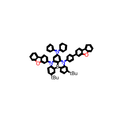 CC(C)(C)c1ccc2c(c1)B1c3ccc(C(C)(C)C)cc3N(c3ccc(-c4ccc5c(c4)oc4ccccc45)cc3)c3cc(N(c4ccccc4)c4ccccc4)cc(c31)N2c1ccc2c(c1)oc1ccccc12